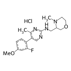 COc1ccc(-c2cnc(NCC3COCCN3C)nc2C)c(F)c1.Cl